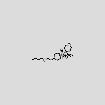 CCCCOCCC1CCN(S(=O)(=O)C2(C(=O)O)CCOCC2)CC1